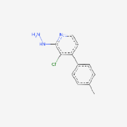 Cc1ccc(-c2ccnc(NN)c2Cl)cc1